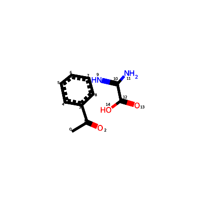 CC(=O)c1ccccc1.N=C(N)C(=O)O